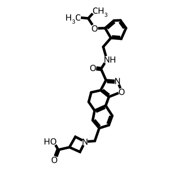 CC(C)Oc1ccccc1CNC(=O)c1noc2c1CCc1cc(CN3CC(C(=O)O)C3)ccc1-2